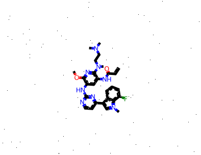 C=CC(=O)Nc1cc(Nc2nccc(-c3cn(C)c4c(F)cccc34)n2)c(OC)nc1N(C)CCN(C)C